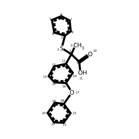 CC(Sc1ccccc1)(C(=O)O)c1cccc(Oc2ccccc2)c1